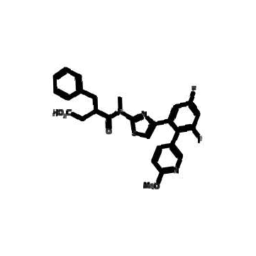 COc1ccc(-c2c(F)cc(F)cc2-c2csc(N(C)C(=O)C(CC(=O)O)Cc3ccccc3)n2)cn1